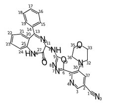 N#Cc1cnc(-c2nnc(NC3N=C(c4ccccc4)c4ccccc4NC3=O)o2)c(N2CCOCC2)c1